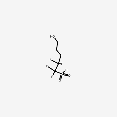 O=S(=O)(Cl)C(F)(F)C(F)(F)CCCO